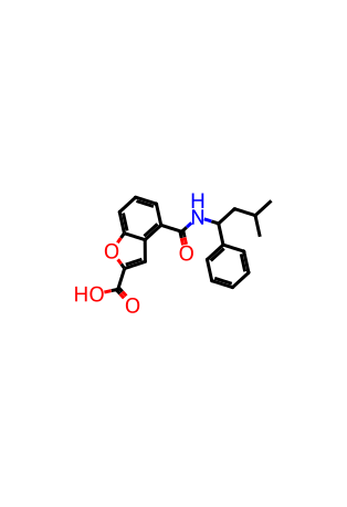 CC(C)CC(NC(=O)c1cccc2oc(C(=O)O)cc12)c1ccccc1